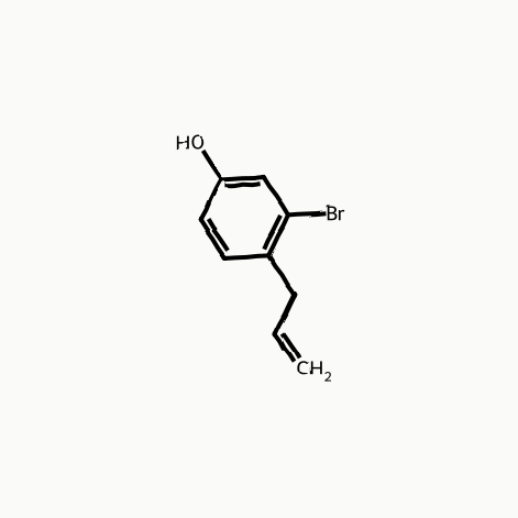 C=CCc1ccc(O)cc1Br